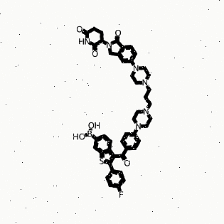 O=C1CCC(N2Cc3cc(N4CCN(CCCN5CCN(c6ccc(C(=O)c7c(-c8ccc(F)cc8)sc8cc(B(O)O)ccc78)cc6)CC5)CC4)ccc3C2=O)C(=O)N1